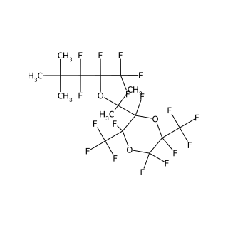 CC(C)(C)C(F)(F)C(F)(OC(C)(C)C1(F)OC(F)(C(F)(F)F)C(F)(F)OC1(F)C(F)(F)F)C(F)(F)F